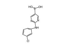 OB(O)c1cnc(Nc2cccc(Cl)c2)nc1